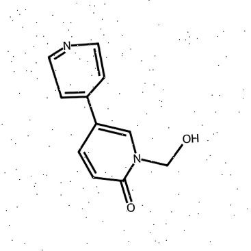 O=c1ccc(-c2ccncc2)cn1CO